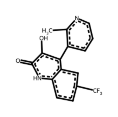 Cc1ncccc1-c1c(O)c(=O)[nH]c2ccc(C(F)(F)F)cc12